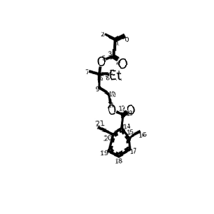 C=C(C)C(=O)OC(C)(CC)CCOC(=O)c1c(C)cccc1C